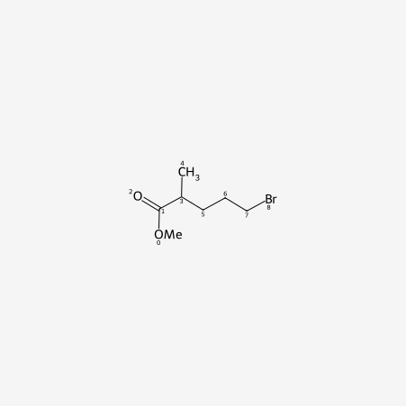 COC(=O)C(C)CCCBr